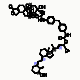 C=C1/C(=C\C=C2/CCC[C@@]3(C)C2CCC3[C@@H](C)/C=C/C(OC(=O)Nc2ccc(Cc3ccc(NC(=O)O[C@H]4[C@]56O[C@H]5CC5C7=C(CC[C@]5(C)[C@@]65O[C@H]5C[C@@]4(O)C(C)C)C(=O)OC7)cc3)cc2)C2CC2)CCC[C@@H]1O